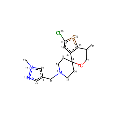 CC1COC2(CCN(Cc3cnn(C)c3)CC2)c2cc(Cl)sc21